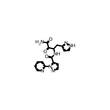 NC(=O)C(=O)C(Cc1cc[nH]n1)NC(=O)c1ccnn1-c1ccccn1